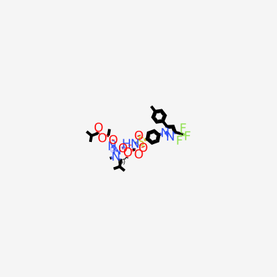 Cc1ccc(-c2cc(C(F)(F)F)nn2-c2ccc(S(=O)(=O)NC(=O)OC[C@H](C(C)C)N(C)/[N+]([O-])=N/OC(C)OC(=O)C(C)C)cc2)cc1